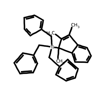 CC1=C(C)[C](C)([Ti]([CH2]c2ccccc2)([CH2]c2ccccc2)[CH2]c2ccccc2)c2ccccc21